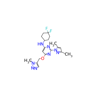 Cc1cc(C)n(-c2nc(NC3CCC(F)(F)CC3)cc(OCc3cnnn3C)n2)n1